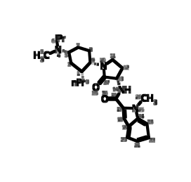 CCC[C@@H]1C[C@H](N(C)C(C)C)CC[C@@H]1N1CC[C@H](NC(=O)c2cc3ccccc3n2C)C1=O